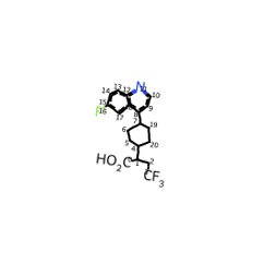 O=C(O)C(CC(F)(F)F)C1CCC(c2ccnc3ccc(F)cc23)CC1